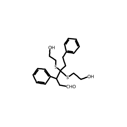 O=CCC(c1ccccc1)C(CCc1ccccc1)(SCCO)SCCO